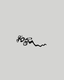 CCCCCCCCCS(=O)(=O)c1ccc([N+](=O)[O-])cc1